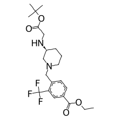 CCOC(=O)c1ccc(CN2CCC[C@H](NCC(=O)OC(C)(C)C)C2)c(C(F)(F)F)c1